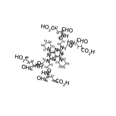 O=C[C@H](CCC(=O)O)NOCCN(CCON[C@H](C=O)CCC(=O)O)c1nc(N2CCCCC2)c2nc(N(CCON[C@H](C=O)CCC(=O)O)CCON[C@H](C=O)CCC(=O)O)nc(N3CCCCC3)c2n1